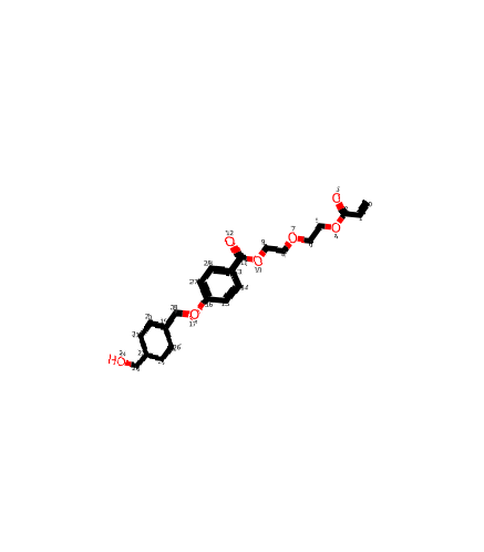 C=CC(=O)OCCOCCOC(=O)c1ccc(OCC2CCC(CO)CC2)cc1